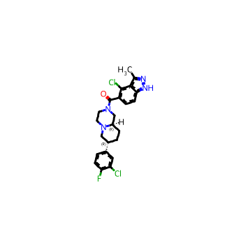 Cc1n[nH]c2ccc(C(=O)N3CCN4C[C@@H](c5ccc(F)c(Cl)c5)CC[C@@H]4C3)c(Cl)c12